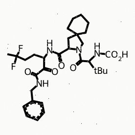 CC(F)(F)CCC(NC(=O)C1CC2(CCCCC2)CN1C(=O)C(NC(=O)O)C(C)(C)C)C(=O)C(=O)NCc1ccccc1